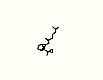 CC(=O)C1C2CCC(C2)C1CC(C)CCCC(C)C